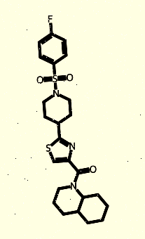 O=C(c1csc(C2CCN(S(=O)(=O)c3ccc(F)cc3)CC2)n1)N1CCCC2CCCCC21